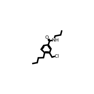 CCCCc1ccc(C(=O)NCCC)cc1CCl